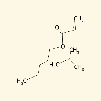 C=CC(=O)OCCCCC.CC(C)C